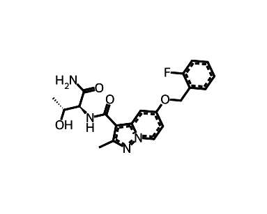 Cc1nn2ccc(OCc3ccccc3F)cc2c1C(=O)N[C@H](C(N)=O)[C@@H](C)O